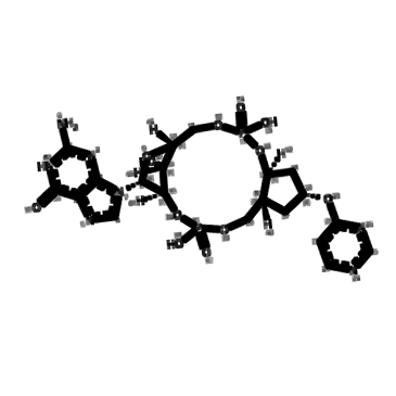 Nc1nc2c(ncn2[C@@H]2O[C@@H]3COP(=O)(O)O[C@H]4C[C@H](Oc5ccncn5)C[C@@H]4COP(=O)(O)O[C@@H]2[C@@H]3O)c(=O)[nH]1